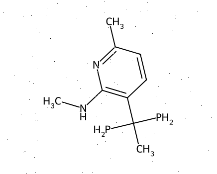 CNc1nc(C)ccc1C(C)(P)P